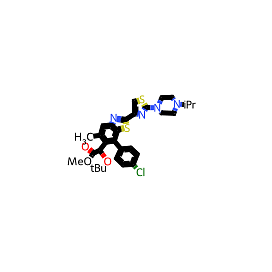 COC(=O)C(OC(C)(C)C)c1c(C)cc2nc(-c3csc(N4CCN(C(C)C)CC4)n3)sc2c1-c1ccc(Cl)cc1